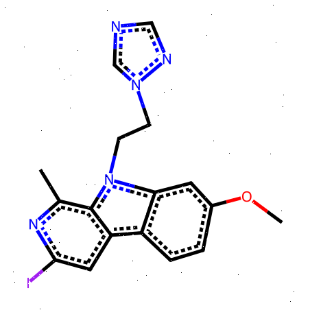 COc1ccc2c3cc(I)nc(C)c3n(CCn3cncn3)c2c1